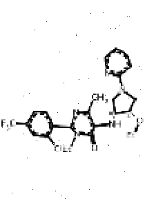 CCO[C@H]1CN(c2ccccn2)C[C@H]1Nc1c(C)nc(-c2ccc(C(F)(F)F)cc2Cl)n(CC)c1=O